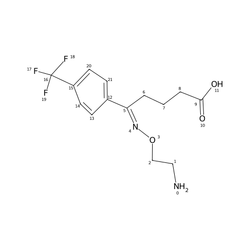 NCCO/N=C(\CCCC(=O)O)c1ccc(C(F)(F)F)cc1